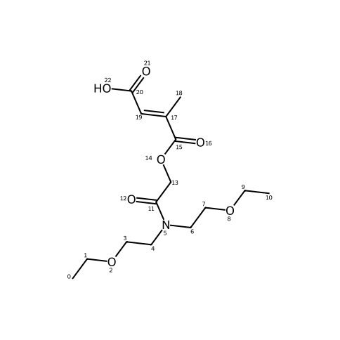 CCOCCN(CCOCC)C(=O)COC(=O)C(C)=CC(=O)O